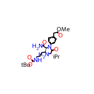 COC(=O)Cc1ccc(N(C(=O)[C@@H](N)C(C)C)[C@@H](CCCCNC(=O)OC(C)(C)C)C(N)=O)cc1